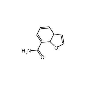 NC(=O)C1=CC=CC2C=COC12